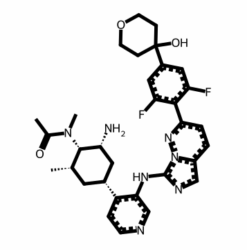 CC(=O)N(C)[C@@H]1[C@H](N)C[C@H](c2ccncc2Nc2ncc3ccc(-c4c(F)cc(C5(O)CCOCC5)cc4F)nn23)C[C@@H]1C